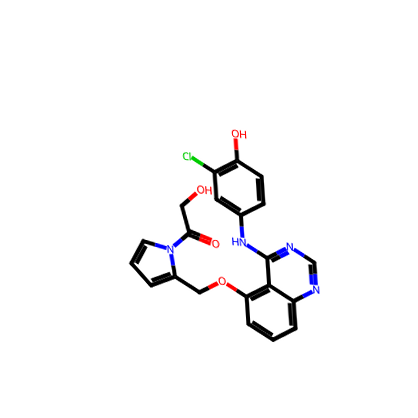 O=C(CO)n1cccc1COc1cccc2ncnc(Nc3ccc(O)c(Cl)c3)c12